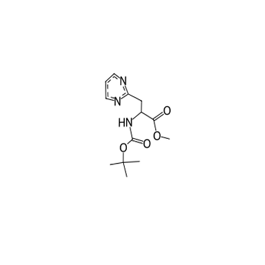 COC(=O)C(Cc1ncccn1)NC(=O)OC(C)(C)C